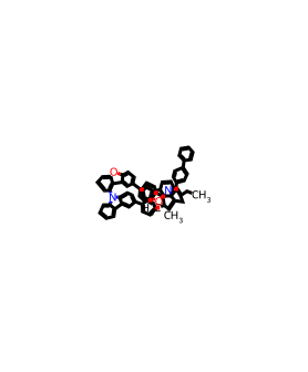 CC/C1=C(c2ccc(-c3ccccc3)cc2)/N=C(/c2ccccc2)C(C)/C(C)=C(\C2=CC=CC3c4cc(-c5ccc6oc7cccc(-n8c9ccccc9c9cc(-c%10ccccc%10)ccc98)c7c6c5)ccc4OC23)C1